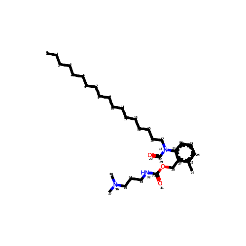 CCCCCCCCCCCCCCCCCCN(C=O)c1cccc(C)c1COC(=O)NCCCN(C)C